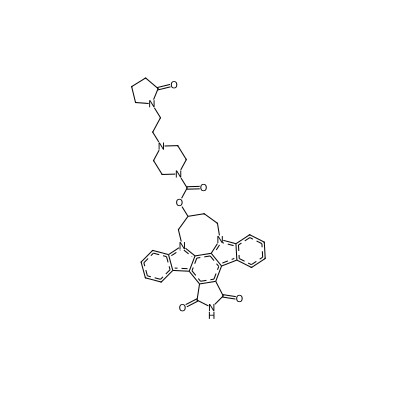 O=C1NC(=O)c2c1c1c3ccccc3n3c1c1c2c2ccccc2n1CC(OC(=O)N1CCN(CCN2CCCC2=O)CC1)CC3